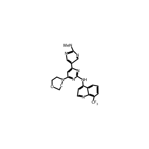 CNc1ncc(-c2cc(N3CCOCC3)nc(Nc3ccnc4c(C(F)(F)F)cccc34)n2)cn1